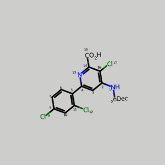 CCCCCCCCCCNc1cc(-c2ccc(Cl)cc2Cl)nc(C(=O)O)c1Cl